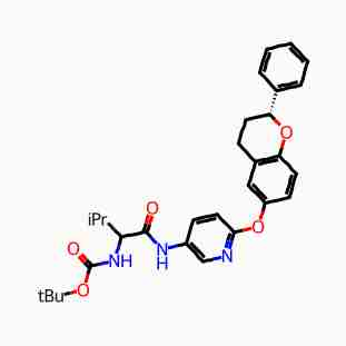 CC(C)C(NC(=O)OC(C)(C)C)C(=O)Nc1ccc(Oc2ccc3c(c2)CC[C@H](c2ccccc2)O3)nc1